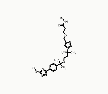 CC(C)NC(=O)CCOCc1cn(C(C)(C)CCOC(C)(C)c2ccc(-c3nnc(SC(C)C)o3)cc2)nn1